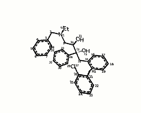 CCN(Cc1ccccc1)CC(O)[C@@](O)(Cc1ccccc1-c1ccccc1Cl)c1ccccc1